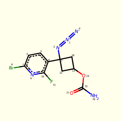 [N-]=[N+]=NC1(c2ccc(Br)nc2F)CC(OC(N)=O)C1